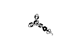 CC(=O)c1ccc(N2CCN(c3nc(N4CCOCC4)cc(N4CCOCC4)n3)CC2)cc1